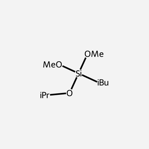 CCC(C)[Si](OC)(OC)OC(C)C